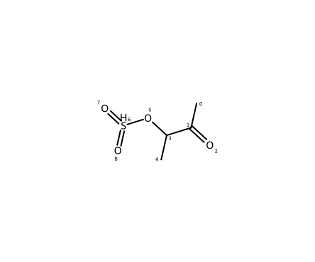 CC(=O)C(C)O[SH](=O)=O